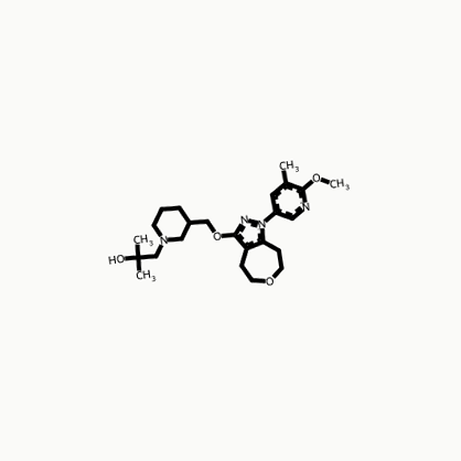 COc1ncc(-n2nc(OCC3CCCN(CC(C)(C)O)C3)c3c2CCOCC3)cc1C